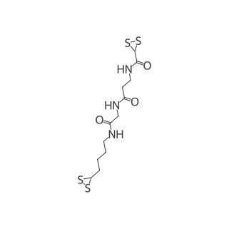 O=C(CCNC(=O)C1SS1)NCC(=O)NCCCCC1SS1